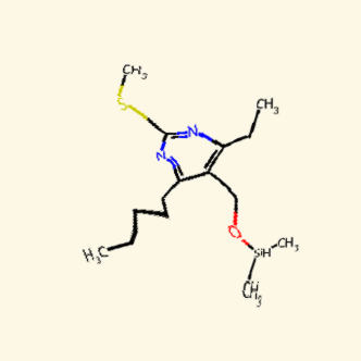 CCCCc1nc(SC)nc(CC)c1CO[SiH](C)C